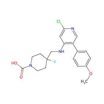 COc1ccc(-c2cnc(Cl)cc2NCC2(F)CCN(C(=O)O)CC2)cc1